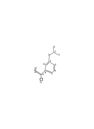 CC(C)Cc1cccc(C(=S)Cl)c1